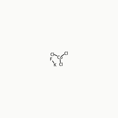 [Cl][Co]([Cl])[Cl].[F][K]